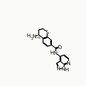 N[C@H]1CCSc2cc(C(=O)Nc3ccnc4[nH]ncc34)ccc21